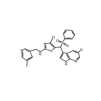 O=S(=O)(c1ccccc1)C(c1sc(NCc2cncc(F)c2)nc1Cl)c1c[nH]c2ncc(Cl)cc12